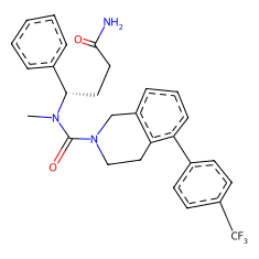 CN(C(=O)N1CCc2c(cccc2-c2ccc(C(F)(F)F)cc2)C1)[C@@H](CCC(N)=O)c1ccccc1